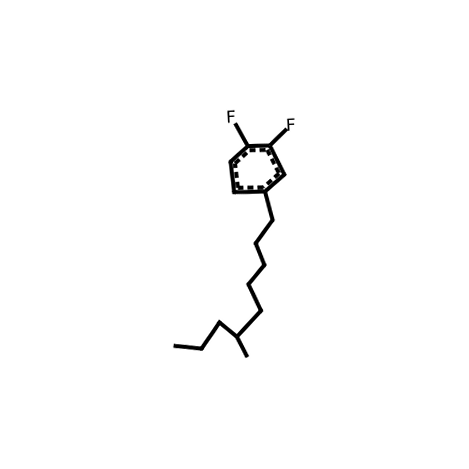 CCCC(C)CCCCCc1ccc(F)c(F)c1